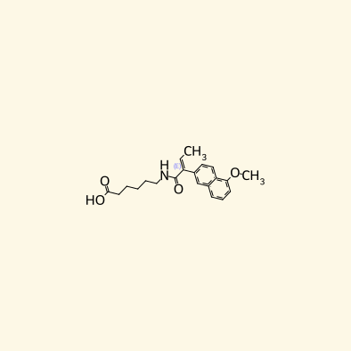 C/C=C(/C(=O)NCCCCCC(=O)O)c1ccc2c(OC)cccc2c1